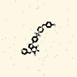 Cn1c(=O)c2c(ccn2-c2ccc(S(=O)(=O)N3CCN(Cc4ccc(Br)cc4)CC3)cc2)n(Cc2ccncc2)c1=O